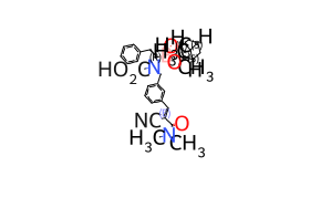 CN(C)C(=O)/C(C#N)=C/c1cccc(CN(C(=O)O)[C@@H](Cc2ccccc2)B2O[C@@H]3C[C@@H]4C[C@@H](C4(C)C)[C@]3(C)O2)c1